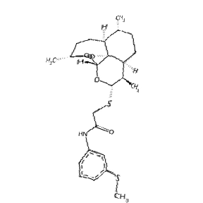 CSc1cccc(NC(=O)CS[C@@H]2O[C@@H]3O[C@]4(C)CC[C@H]5[C@H](C)CC[C@@H]([C@H]2C)[C@@]35OO4)c1